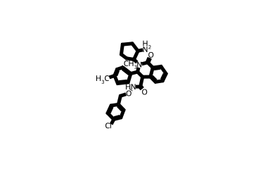 Cc1ccc(C2C(C(=O)NOCc3ccc(Cl)cc3)c3ccccc3C(=O)N2C2CCCCC2N)c(C)c1